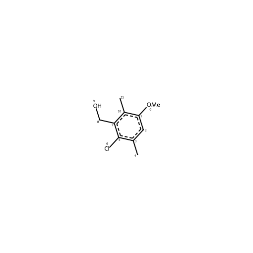 COc1cc(C)c(Cl)c(CO)c1C